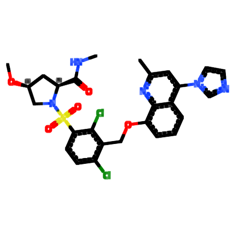 CNC(=O)[C@@H]1C[C@H](OC)CN1S(=O)(=O)c1ccc(Cl)c(COc2cccc3c(-n4ccnc4)cc(C)nc23)c1Cl